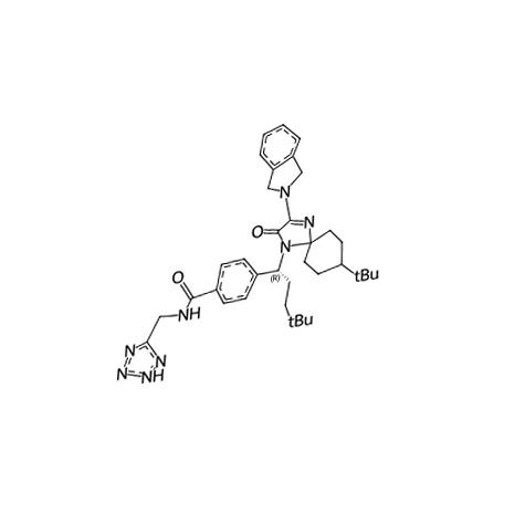 CC(C)(C)CC[C@H](c1ccc(C(=O)NCc2nn[nH]n2)cc1)N1C(=O)C(N2Cc3ccccc3C2)=NC12CCC(C(C)(C)C)CC2